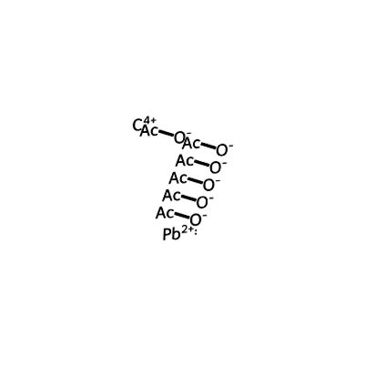 CC(=O)[O-].CC(=O)[O-].CC(=O)[O-].CC(=O)[O-].CC(=O)[O-].CC(=O)[O-].[C+4].[Pb+2]